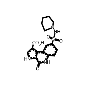 O=C(O)c1c[nH]c2c(=O)[nH]c3ccc(S(=O)(=O)NN4CCCCC4)cc3c12